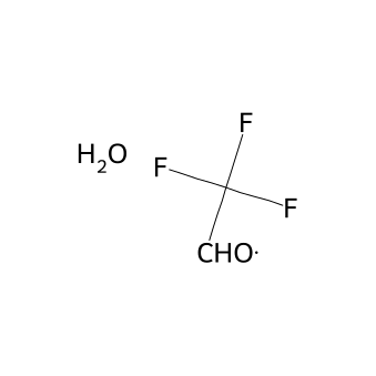 O.O=[C]C(F)(F)F